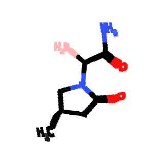 B[C@@H](C(N)=O)N1CC(C)CC1=O